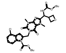 Cn1c(C(NC(=O)OC(C)(C)C)C2COC2)nc2c1c(=O)n(Cc1cc3c(Cl)cccc3n1C(=O)OC(C)(C)C)c(=O)n2C